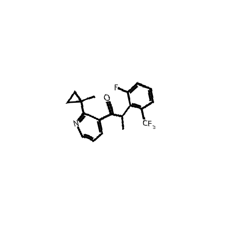 CC(C(=O)c1cccnc1C1(C)CC1)c1c(F)cccc1C(F)(F)F